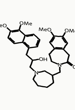 COc1cc2c(cc1OC)CC(=O)N(CC1CCCCN(CC(O)Cc3cccc4c(OC)c(OC)ccc34)C1)CC2